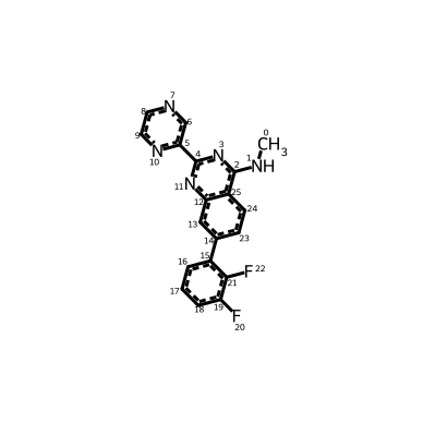 CNc1nc(-c2cnccn2)nc2cc(-c3cccc(F)c3F)ccc12